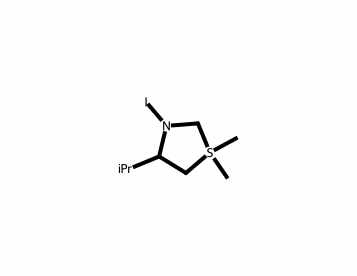 CC(C)C1CS(C)(C)CN1I